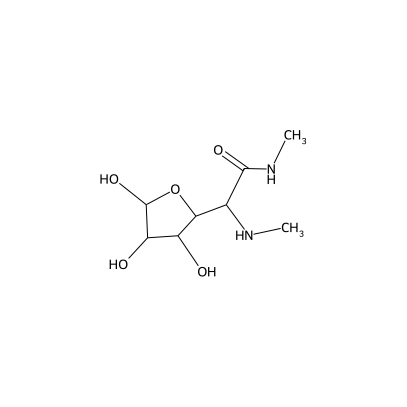 CNC(=O)C(NC)C1OC(O)C(O)C1O